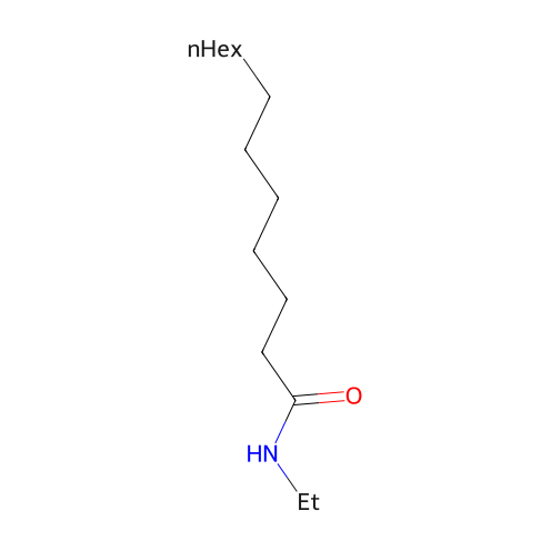 CCCCCCCCCCCCC(=O)NCC